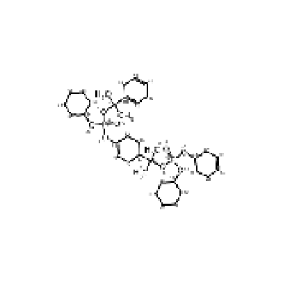 CC(C)(OP(=O)(OC1=CCC(C(C)(C)OP(=O)(OC2CC=CCC2)OC2CCCCC2)CC1)OC1CCCCC1)C1=CCC=CC1